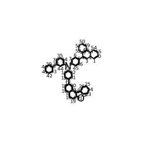 C1=CC2C=C(c3ccc(N(c4ccc(-c5ccc6ccc7oc8ccccc8c7c6c5)cc4)c4cccc(-c5ccccc5)c4)cc3)C3=C(C=CCC3)C2C=C1